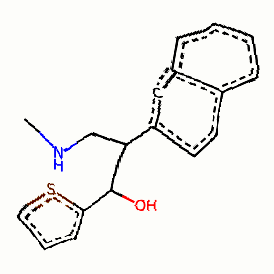 CNCC(c1ccc2ccccc2c1)C(O)c1cccs1